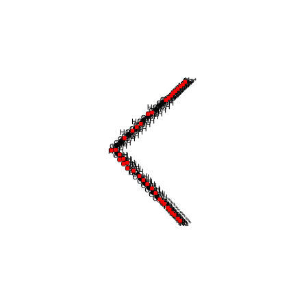 O=C(O)O.O=C(O)O.O=C(O)O.O=C(O)O.O=C(O)O.O=C(O)O.O=C(O)O.O=C(O)O.O=C(O)O.O=C(O)O.O=C(O)O.O=C(O)O.O=C(O)O.O=C(O)O.O=C(O)O.O=C(O)O.O=C(O)O.O=C(O)O.O=C(O)O.O=C(O)O.O=C(O)O.O=C(O)O.O=C(O)O.O=C(O)O.O=C(O)O.[Na+].[Na+].[Na+].[Na+].[Na+].[Na+].[Na+].[Na+].[Na+].[Na+].[Na+].[Na+].[Na+].[Na+].[Na+].[Na+].[Na+].[Na+].[Na+].[Na+].[Na+].[Na+].[Na+].[Na+].[Na+].[Na+].[Na+].[Na+].[Na+].[Na+].[Na+].[Na+].[Na+].[Na+].[Na+].[Na+].[Na+].[Na+].[Na+].[Na+]